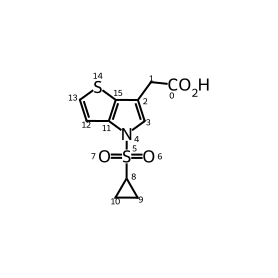 O=C(O)Cc1cn(S(=O)(=O)C2CC2)c2ccsc12